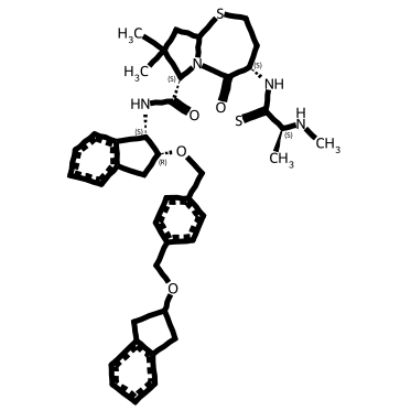 CN[C@@H](C)C(=S)N[C@H]1CCSC2CC(C)(C)[C@@H](C(=O)N[C@H]3c4ccccc4C[C@H]3OCc3ccc(COC4Cc5ccccc5C4)cc3)N2C1=O